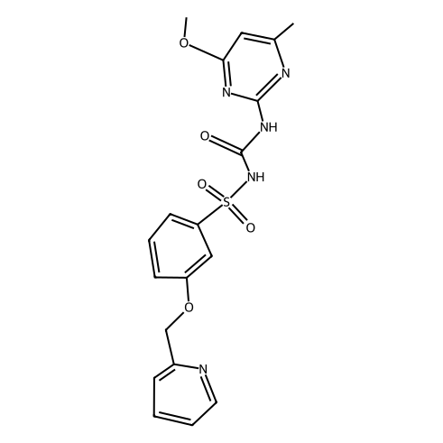 COc1cc(C)nc(NC(=O)NS(=O)(=O)c2cccc(OCc3ccccn3)c2)n1